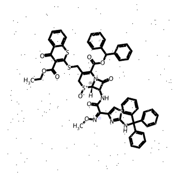 CCOC(=O)c1c(SCC2=C(C(=O)OC(c3ccccc3)c3ccccc3)N3C(=O)C(NC(=O)/C(=N\OC)c4csc(NC(c5ccccc5)(c5ccccc5)c5ccccc5)n4)[C@@H]3[S+]([O-])C2)sc2ccccc2c1=O